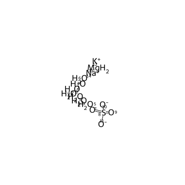 O.O.O.O.O.O.O.O=S(=O)([O-])[O-].[K+].[MgH2].[Na+]